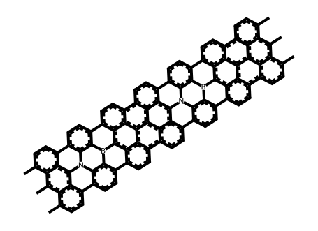 Cc1ccc2c3c4c5c(ccc(C)c5c(C)c13)-c1ccc3c5c1N4c1c-2ccc2c1B5c1c4c-2ccc2c5ccc6c7c8c9c(ccc%10c%11ccc-3c1c%11c(c42)c(c75)c9%10)-c1ccc2c3c1N8c1c-6ccc4c1B3c1c3c-4ccc4c5ccc(C)c6c(C)c7c(C)ccc8c9ccc-2c1c9c(c34)c(c65)c78